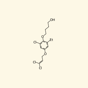 CCc1cc(OCC=C(Cl)Cl)cc(Cl)c1OCCCCO